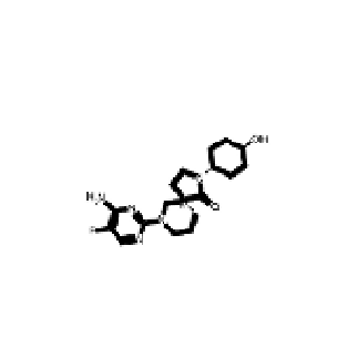 Nc1nc(N2CCC[C@@]3(CCN([C@H]4CC[C@H](O)CC4)C3=O)C2)ncc1F